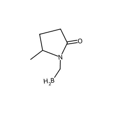 BCN1C(=O)CCC1C